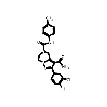 Cc1ccc(NC(=O)N2CCn3nc(-c4ccc(Cl)c(Cl)c4)c(C(N)=O)c3C2)cc1